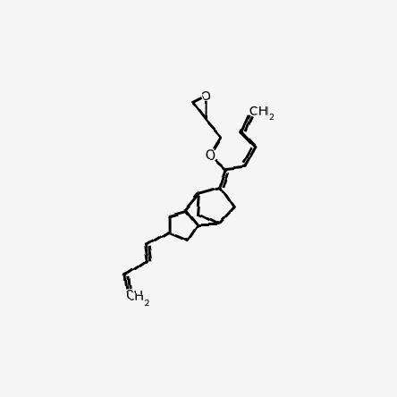 C=C/C=C\C(OCC1CO1)=C1/CC2CC1C1CC(/C=C/C=C)CC21